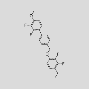 CCc1ccc(OCc2ccc(-c3ccc(OC)c(F)c3F)cc2)c(F)c1F